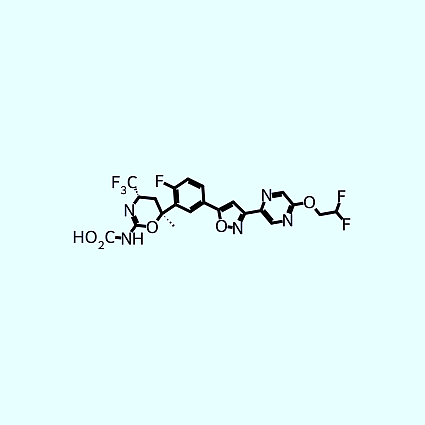 C[C@@]1(c2cc(-c3cc(-c4cnc(OCC(F)F)cn4)no3)ccc2F)C[C@@H](C(F)(F)F)N=C(NC(=O)O)O1